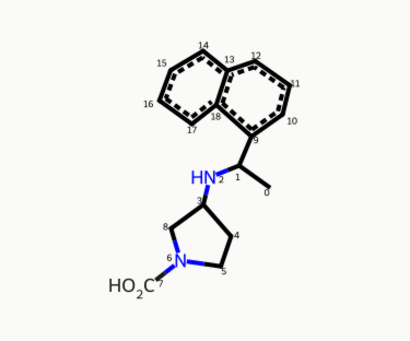 CC(NC1CCN(C(=O)O)C1)c1cccc2ccccc12